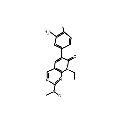 CCn1c(=O)c(-c2ccc(F)c(N)c2)cc2cnc([S+](C)[O-])nc21